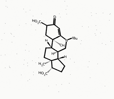 CC(C)(C)N1C[C@H]2[C@@H]3CC[C@H](C(=O)O)[C@@]3(C)CC[C@@H]2[C@@]2(C)CC(C(=O)O)C(=O)C=C12